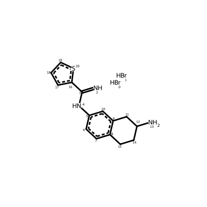 Br.Br.N=C(Nc1ccc2c(c1)CC(N)CC2)c1cccs1